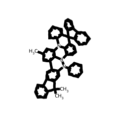 Cc1cc2c3c(c1)N1c4ccccc4C4(c5ccccc5-c5ccccc54)c4cccc(c41)B3N(c1ccccc1)c1cc3c(cc1-2)-c1ccccc1C3(C)C